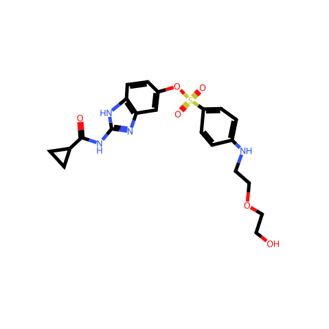 O=C(Nc1nc2cc(OS(=O)(=O)c3ccc(NCCOCCO)cc3)ccc2[nH]1)C1CC1